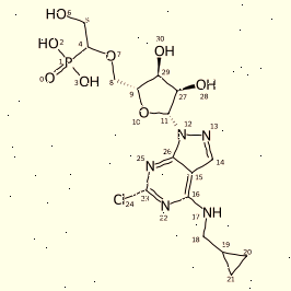 O=P(O)(O)C(CO)OC[C@H]1O[C@@H](n2ncc3c(NCC4CC4)nc(Cl)nc32)[C@H](O)[C@@H]1O